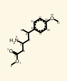 COC(=O)CC(N)CC(C)c1ccc(OC)cc1